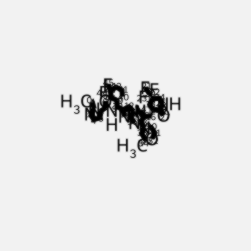 CCn1nccc1C(=O)N[C@H](c1cn2nc(C[C@H]3C[C@@H](C(F)(F)F)CNC3=O)c(N3CCO[C@H](C)C3)nc2n1)[C@H]1CCCC(F)(F)C1